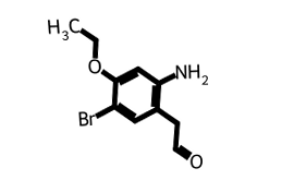 CCOc1cc(N)c(CC=O)cc1Br